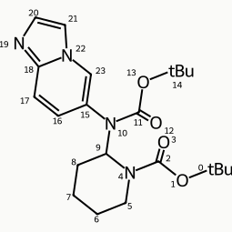 CC(C)(C)OC(=O)N1CCCCC1N(C(=O)OC(C)(C)C)c1ccc2nccn2c1